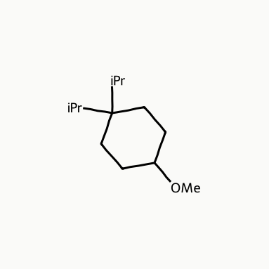 COC1CCC(C(C)C)(C(C)C)CC1